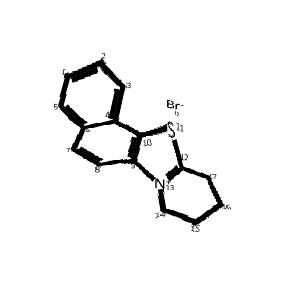 [Br-].c1ccc2c(c1)ccc1c2sc2[n+]1CCCC2